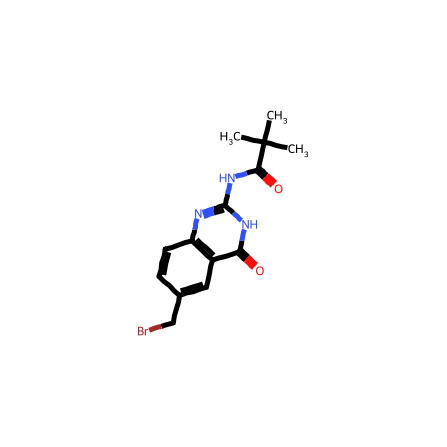 CC(C)(C)C(=O)Nc1nc2ccc(CBr)cc2c(=O)[nH]1